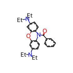 CCN(CC)c1ccc2c(c1)Oc1cc(N(CC)CC)ccc1N2C(=O)c1ccccc1